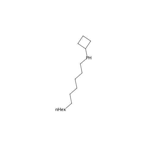 CCCCCCCCCCCCPC1CCC1